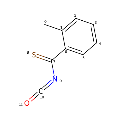 Cc1ccccc1C(=S)N=C=O